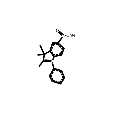 COS(=O)c1ccc2c(c1)C(C)(C)C(C)=[N+]2c1ccccc1